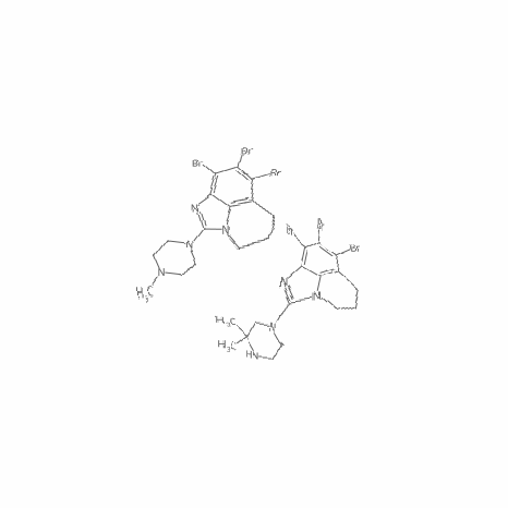 CC1(C)CN(c2nc3c(Br)c(Br)c(Br)c4c3n2CCC4)CCN1.CN1CCN(c2nc3c(Br)c(Br)c(Br)c4c3n2CCC4)CC1